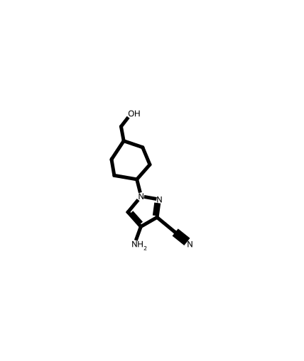 N#Cc1nn(C2CCC(CO)CC2)cc1N